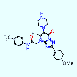 CCc1c(N2CCNCC2)c(=O)n2nc(C3=CC[C@H](OC)CC3)nc2n1CC(=O)Nc1ccc(C(F)(F)F)cc1